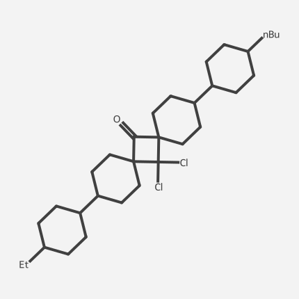 CCCCC1CCC(C2CCC3(CC2)C(=O)C2(CCC(C4CCC(CC)CC4)CC2)C3(Cl)Cl)CC1